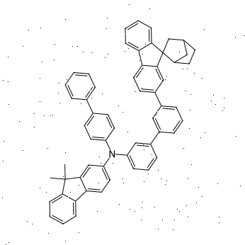 CC1(C)c2ccccc2-c2ccc(N(c3ccc(-c4ccccc4)cc3)c3cccc(-c4cccc(-c5ccc6c(c5)C5(CC7CCC5C7)c5ccccc5-6)c4)c3)cc21